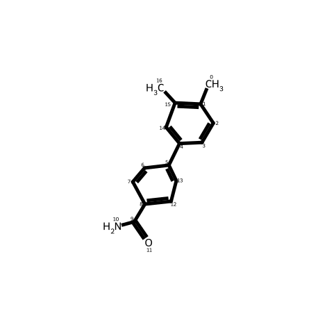 Cc1ccc(-c2ccc(C(N)=O)cc2)cc1C